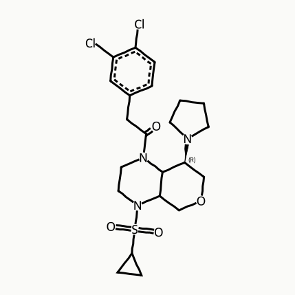 O=C(Cc1ccc(Cl)c(Cl)c1)N1CCN(S(=O)(=O)C2CC2)C2COC[C@H](N3CCCC3)C21